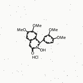 COc1ccc(-c2c3cc(OC)c(OC)cc3cc(=O)n2O)cc1OC.Cl